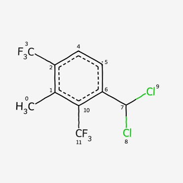 Cc1c(C(F)(F)F)c[c]c(C(Cl)Cl)c1C(F)(F)F